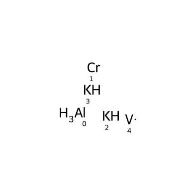 [AlH3].[Cr].[KH].[KH].[V]